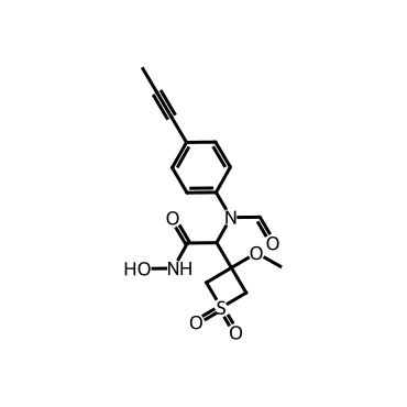 CC#Cc1ccc(N(C=O)C(C(=O)NO)C2(OC)CS(=O)(=O)C2)cc1